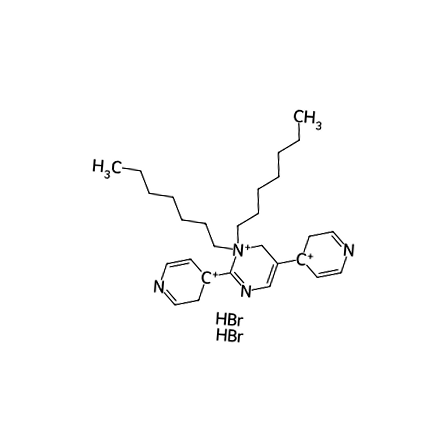 Br.Br.CCCCCCC[N+]1(CCCCCCC)CC([C+]2C=CN=CC2)=CN=C1[C+]1C=CN=CC1